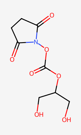 O=C(OC(CO)CO)ON1C(=O)CCC1=O